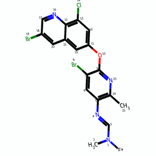 CCN(C)/C=N/c1cc(Br)c(Oc2cc(Cl)c3ncc(Br)cc3c2)nc1C